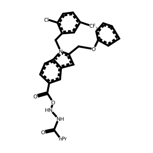 CCCC(=O)NNOC(=O)c1ccc2c(c1)cc(COc1ccccc1)n2Cc1cc(C(F)(F)F)ccc1Cl